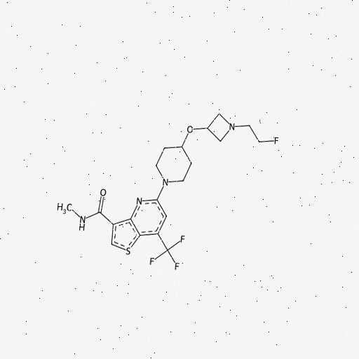 CNC(=O)c1csc2c(C(F)(F)F)cc(N3CCC(OC4CN(CCF)C4)CC3)nc12